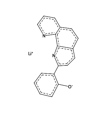 [Li+].[O-]c1ccccc1-c1ccc2ccc3cccnc3c2n1